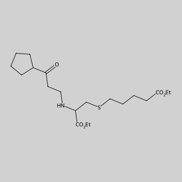 CCOC(=O)CCCCSCC(NCCC(=O)C1CCCC1)C(=O)OCC